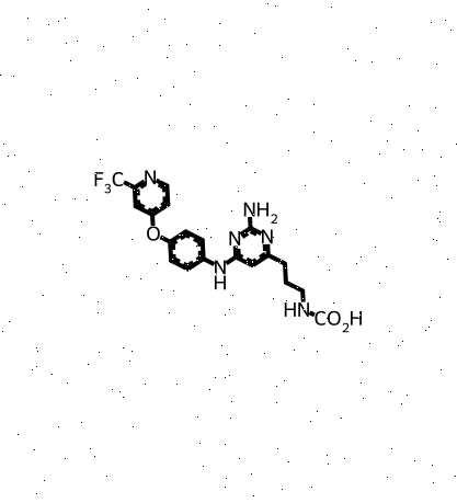 Nc1nc(CCCNC(=O)O)cc(Nc2ccc(Oc3ccnc(C(F)(F)F)c3)cc2)n1